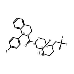 O=C([C@H]1C[C@@H]2NCCN(CC(F)(F)F)[C@H]2CO1)N1CCc2ccccc2[C@@H]1c1ccc(F)cc1